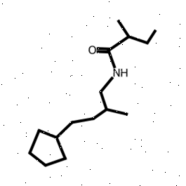 CCC(C)C(=O)NCC(C)CCC1CCCC1